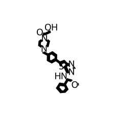 COCC(Nc1ncnc2cc(-c3ccc(CN4CCN(C(=O)CO)CC4)cc3)sc12)c1ccccc1